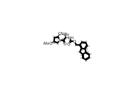 CC[C@H](C)[C@H](NC(=O)OCc1cccc2c1Cc1ccccc1-2)C(=O)N1C[C@H](OC)C[C@H]1C#N